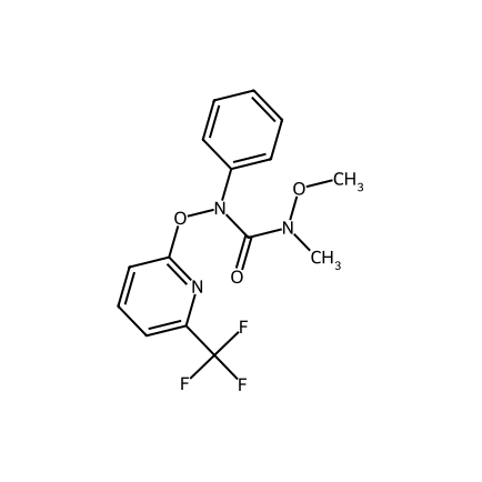 CON(C)C(=O)N(Oc1cccc(C(F)(F)F)n1)c1ccccc1